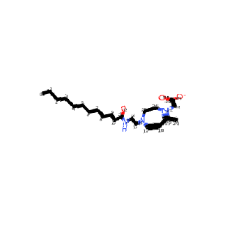 CCCCCCCCCCCC(=O)NCCN1C#CC(C)=[N+](CC(=O)[O-])CC1